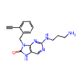 C#Cc1ccccc1Cn1c(=O)[nH]c2cnc(NCCCN)nc21